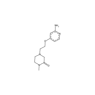 CN1CCN(CCOc2ccnc(N)c2)CC1=O